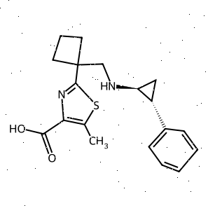 Cc1sc(C2(CN[C@H]3C[C@@H]3c3ccccc3)CCC2)nc1C(=O)O